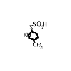 Cc1ccc(SS(=O)(=O)O)cc1.[KH]